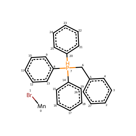 [Mn][Br].c1ccc(C[PH](c2ccccc2)(c2ccccc2)c2ccccc2)cc1